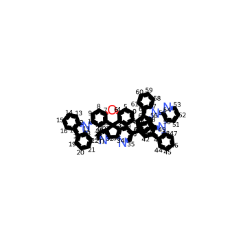 c1ccc2c(c1)Oc1ccc(-n3c4ccccc4c4ccccc43)cc1C21c2cccnc2-c2ncc(-c3ccc4c(c3)c3ccccc3n4-c3cccnc3-n3c4ccccc4c4ccccc43)cc21